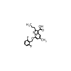 CCCc1nn2c(OCc3c(F)cccc3F)cc(C)cc2c1C(=O)O